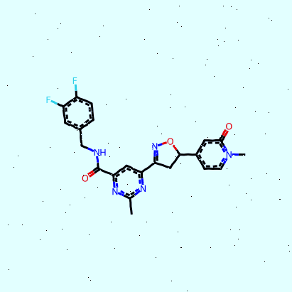 Cc1nc(C(=O)NCc2ccc(F)c(F)c2)cc(C2=NOC(c3ccn(C)c(=O)c3)C2)n1